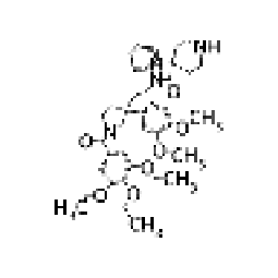 CCOc1cc(C(=O)N2CCC(CCNC(=O)C3(c4ccccc4)CCNCC3)(c3ccc(OC)c(OC)c3)C2)cc(OCC)c1OCC